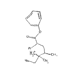 CC(C)C(CC(C)C(C)(C)CC(C)(C)C)C(=O)Oc1ccccc1